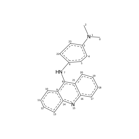 CN(C)c1ccc(Nc2c3ccccc3nc3ccccc23)cc1